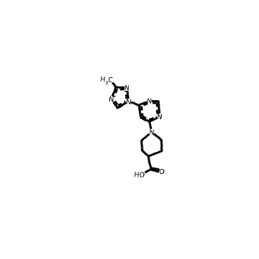 Cc1ncn(-c2cc(N3CCC(C(=O)O)CC3)ncn2)n1